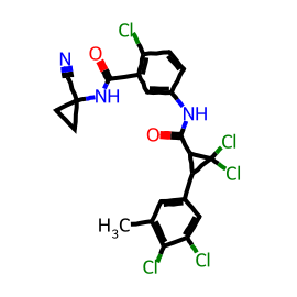 Cc1cc(C2C(C(=O)Nc3ccc(Cl)c(C(=O)NC4(C#N)CC4)c3)C2(Cl)Cl)cc(Cl)c1Cl